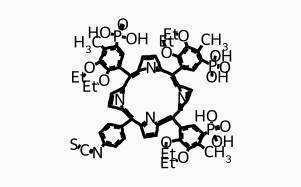 CCOc1c(C2=C3C=CC(=N3)C(c3ccc(N=C=S)cc3)=C3C=CC(=N3)C(c3cc(P(=O)(O)O)c(C)c(OCC)c3OCC)=C3C=CC(=N3)C(c3cc(P(=O)(O)O)c(C)c(OCC)c3OCC)=C3C=CC2=N3)cc(P(=O)(O)O)c(C)c1OCC